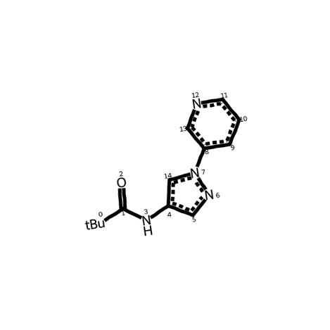 CC(C)(C)C(=O)Nc1cnn(-c2cccnc2)c1